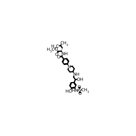 COC(=O)[C@H](CC(C)C)NC(=O)c1ccc(N2CCC(NCC(O)c3ccc(O)c(NS(C)(=O)=O)c3)CC2)cc1